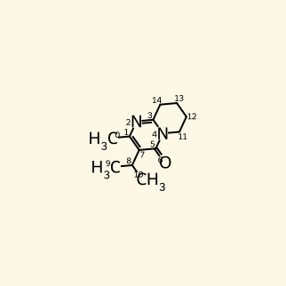 Cc1nc2n(c(=O)c1C(C)C)CCCC2